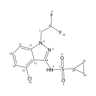 O=S(=O)(Nc1nn(CC(F)F)c2cccc(Cl)c12)C1CC1